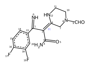 N=C(/C(C(N)=O)=C1/CN(C=O)CCN1)c1ccc(F)c(F)c1